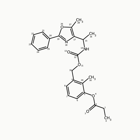 CCC(=O)Oc1cccc(COC(=O)NC(C)c2nc(-c3ccccc3)oc2C)c1C